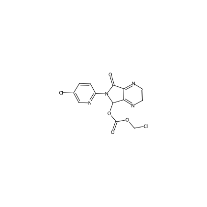 O=C(OCCl)OC1c2nccnc2C(=O)N1c1ccc(Cl)cn1